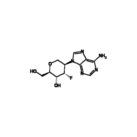 Nc1ncnc2c1ncn2[C@@H]1CO[C@H](CO)[C@@H](O)[C@H]1F